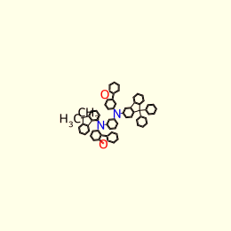 CC1(C)c2ccccc2-c2c(N(c3cccc(N(c4ccc5c(c4)-c4ccccc4C5(c4ccccc4)c4ccccc4)c4ccc5oc6ccccc6c5c4)c3)c3cccc4oc5ccccc5c34)cccc21